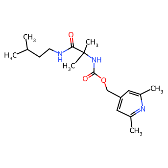 Cc1cc(COC(=O)NC(C)(C)C(=O)NCCC(C)C)cc(C)n1